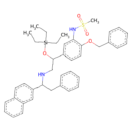 CC[Si](CC)(CC)OC(CNC(Cc1ccccc1)c1ccc2ccccc2c1)c1ccc(OCc2ccccc2)c(NS(C)(=O)=O)c1